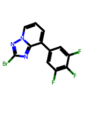 Fc1cc(-c2cccn3nc(Br)nc23)cc(F)c1F